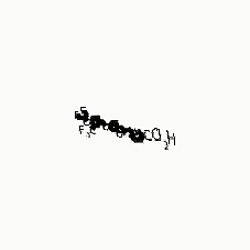 O=C(O)[C@@H]1CCCN(CC2=Cc3ccc(OCc4ccc(OC(CF)CF)c(C(F)(F)F)c4)cc3OC2)C1